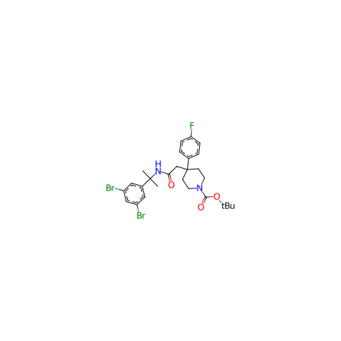 CC(C)(C)OC(=O)N1CCC(CC(=O)NC(C)(C)c2cc(Br)cc(Br)c2)(c2ccc(F)cc2)CC1